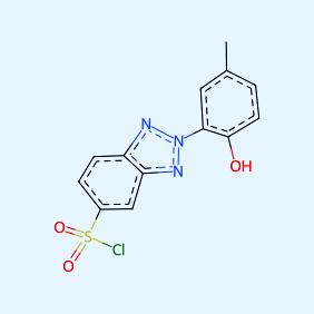 Cc1ccc(O)c(-n2nc3ccc(S(=O)(=O)Cl)cc3n2)c1